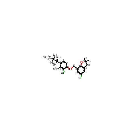 [2H]C([2H])(C(=O)O)C([2H])([2H])c1ccc(OCc2cc(F)cc3c2OC(C)(C)C3)c(F)c1CCC